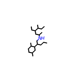 CCCC(CNC(C)CC(CC)C(C)CC)C1CC(C)CCC1C